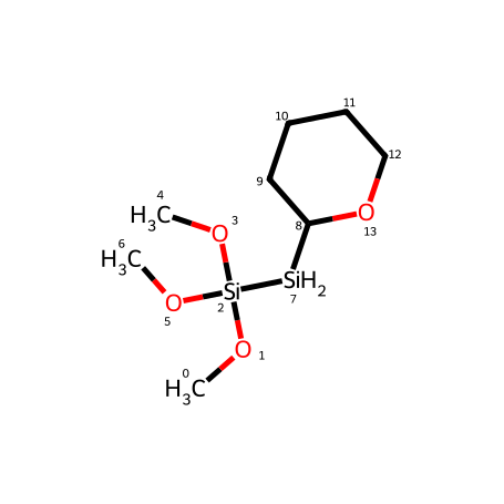 CO[Si](OC)(OC)[SiH2]C1CCCCO1